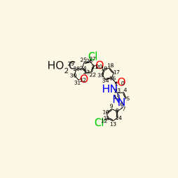 O=C(Nc1ccn(Cc2ccc(Cl)cc2)n1)c1ccc(Oc2cc3c(cc2Cl)C(C(=O)O)CCO3)cc1